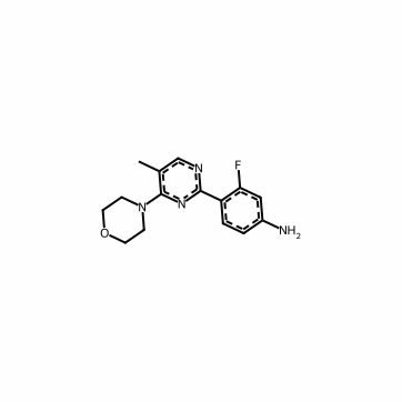 Cc1cnc(-c2ccc(N)cc2F)nc1N1CCOCC1